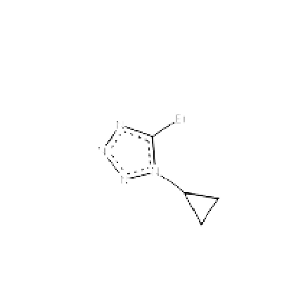 CCc1nnnn1C1CC1